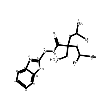 CCCCC(CC)CC(CC(=O)O)(CC(CC)CCCC)C(=O)OSc1nc2ccccc2s1